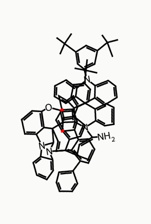 CC1=C(c2ccc(-c3ccc(C(C)(C)C)cc3)cc2)\C=C\C23c4c(cccc4N4c5ccccc5N(c5c(-c6ccccc6)cccc5-c5ccccc5)C42)Oc2ccc4c(c23)N(\C(N)=C\1)c1ccccc1C41c2ccccc2N(c2cc(C(C)(C)C)cc(C(C)(C)C)c2)c2ccccc21